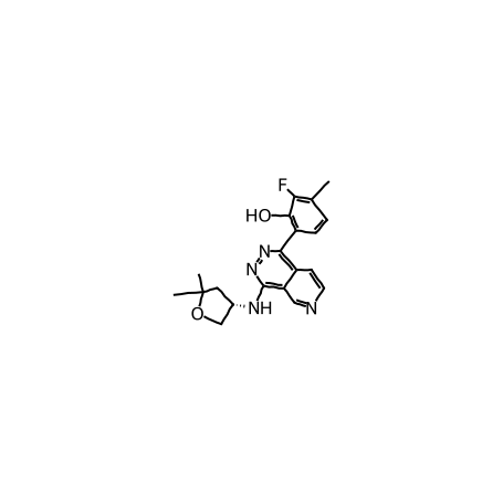 Cc1ccc(-c2nnc(N[C@@H]3COC(C)(C)C3)c3cnccc23)c(O)c1F